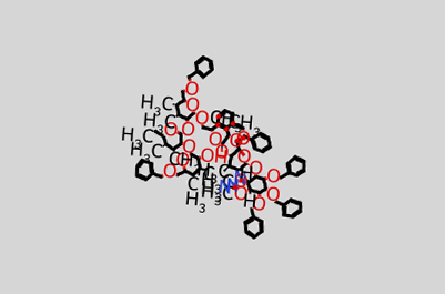 CCC1O[C@H](OC2[C@@H](OCC3O[C@H](O[C@@H]4C(COCc5ccccc5)O[C@H](OC5C(OCc6ccccc6)C(OCc6ccccc6)C(OCc6ccccc6)[C@@H]6OC(C)(C)O[C@@H]56)C(N=[N+]=[N-])[C@H]4C)C(OCc4ccccc4)[C@@H](C)[C@@H]3C)OC(COCc3ccccc3)[C@@H](C)[C@@H]2C)C(O[C@H]2OC(COCc3ccccc3)[C@@H](C)[C@H](C)C2O)[C@@H](C)[C@@H]1C